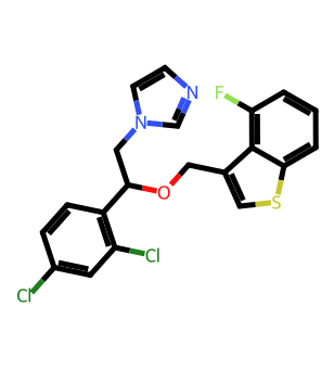 Fc1cccc2scc(COC(Cn3ccnc3)c3ccc(Cl)cc3Cl)c12